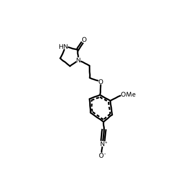 COc1cc(C#[N+][O-])ccc1OCCN1CCNC1=O